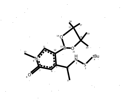 CC(NSC(C)(C)C)c1cc(=O)n(C)cc1B1OC(C)(C)C(C)(C)O1